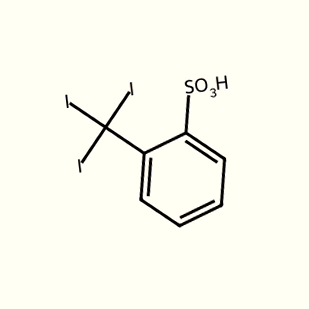 O=S(=O)(O)c1ccccc1C(I)(I)I